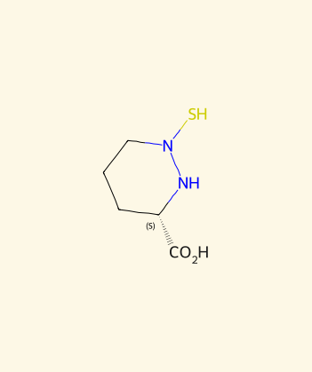 O=C(O)[C@@H]1CCCN(S)N1